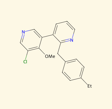 CCc1ccc(Cc2ncccc2-c2cncc(Cl)c2OC)cc1